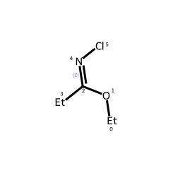 CCO/C(CC)=N\Cl